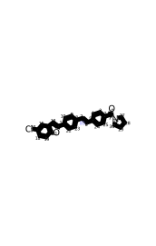 O=C(c1ccc(/C=C/c2ccc(-c3cc4cc(Cl)ccc4o3)cc2)cc1)N1CCCC1